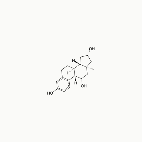 C[C@@]12C[C@@H](O)C[C@H]1[C@@H]1CCc3cc(O)ccc3[C@H]1[C@@H](O)C2